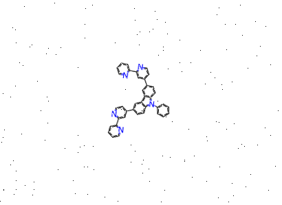 c1ccc(-n2c3ccc(-c4ccnc(-c5ccccn5)c4)cc3c3cc(-c4ccnc(-c5ccccn5)c4)ccc32)cc1